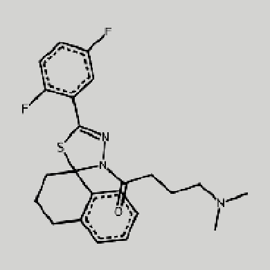 CN(C)CCCC(=O)N1N=C(c2cc(F)ccc2F)SC12CCCc1ccccc12